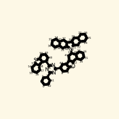 c1ccc(-c2nc(-c3ccc4oc5c6ccccc6c(-n6c7cc8ccccc8cc7c7cc8ccccc8cc76)cc5c4c3)nc(-c3cccc4sc5ccccc5c34)n2)cc1